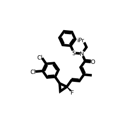 CC(C=C[C@]1(F)CC1c1ccc(Cl)c(Cl)c1)=CC(=O)N(CC(C)C)Sc1ccccc1